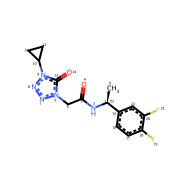 C[C@H](NC(=O)Cn1nnn(C2CC2)c1=O)c1ccc(F)c(F)c1